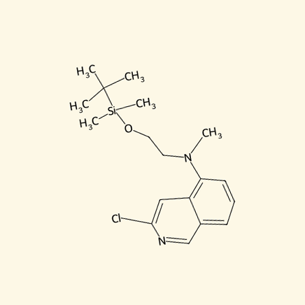 CN(CCO[Si](C)(C)C(C)(C)C)c1cccc2cnc(Cl)cc12